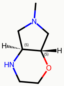 CN1C[C@@H]2NCCO[C@H]2C1